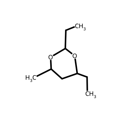 CCC1CC(C)OC(CC)O1